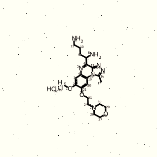 COc1cc2nc(C(N)CCCN)c3nnc(C)n3c2cc1OCCN1CCOCC1.Cl.Cl